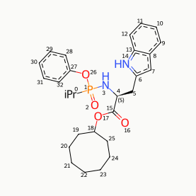 CC(C)P(=O)(N[C@@H](Cc1cc2ccccc2[nH]1)C(=O)OC1CCCCCCC1)Oc1ccccc1